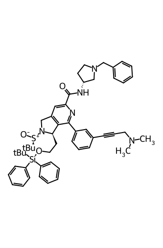 CN(C)CC#Cc1cccc(-c2nc(C(=O)N[C@@H]3CCN(Cc4ccccc4)C3)cc3c2[C@@H](CCO[Si](c2ccccc2)(c2ccccc2)C(C)(C)C)N([S@+]([O-])C(C)(C)C)C3)c1